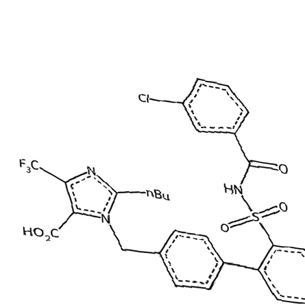 CCCCc1nc(C(F)(F)F)c(C(=O)O)n1Cc1ccc(-c2ccccc2S(=O)(=O)NC(=O)c2cccc(Cl)c2)cc1